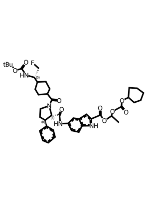 CC(OC(=O)OC1CCCCC1)OC(=O)c1cc2cc(NC(=O)[C@@H]3[C@@H](c4ccccc4)CCN3C(=O)C3CCC([C@@H](CF)NC(=O)OC(C)(C)C)CC3)ccc2[nH]1